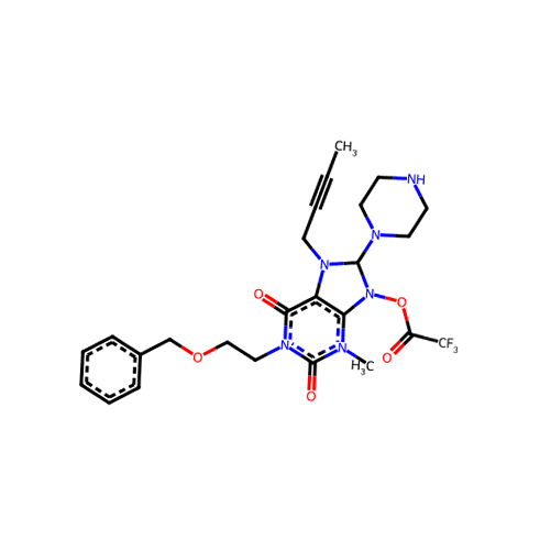 CC#CCN1c2c(n(C)c(=O)n(CCOCc3ccccc3)c2=O)N(OC(=O)C(F)(F)F)C1N1CCNCC1